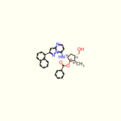 C[C@@H]1[C@@H](CO)C[C@@H](Nc2ccnc3cc(-c4cccc5ccccc45)nn23)[C@@H]1OC(=O)c1ccccc1